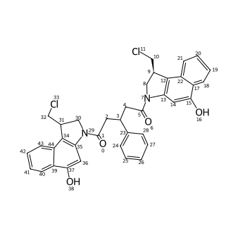 O=C(CC(CC(=O)N1C[C@@H](CCl)c2c1cc(O)c1ccccc21)c1ccccc1)N1CC(CCl)c2c1cc(O)c1ccccc21